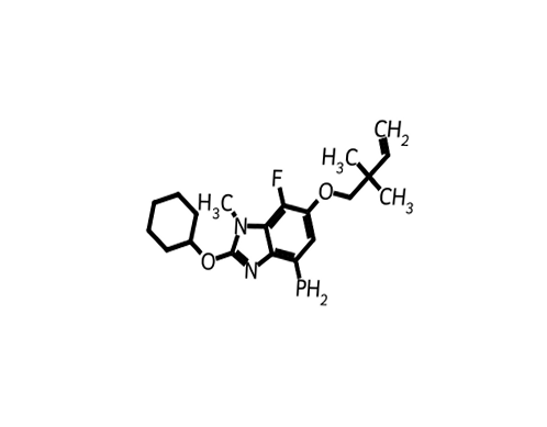 C=CC(C)(C)COc1cc(P)c2nc(OC3CCCCC3)n(C)c2c1F